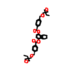 CCC1(COCc2ccc(C(=O)Oc3ccc(OC(=O)c4ccc(COCC5(CC)COC5)cc4)c4c3C3CCC4C3)cc2)COC1